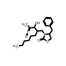 CCCCCCC(CN1C(=O)OCC1Cc1ccccc1)C(O)C(C)=C=O